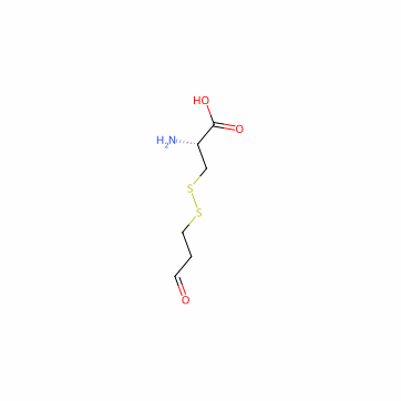 N[C@@H](CSSCCC=O)C(=O)O